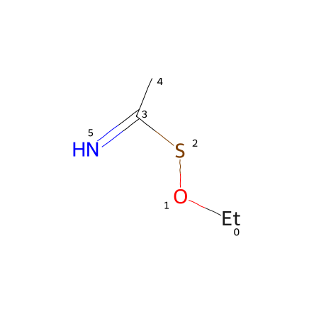 CCOSC(C)=N